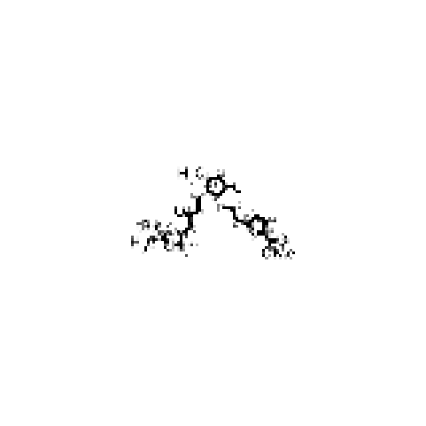 CCCC(CC(=O)/C=C/[C@@H]1[C@@H](CCCc2ccc(C(=O)OC)s2)[C@H](Cl)C[C@H]1C)O[Si](C)(C)C(C)(C)C